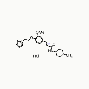 COc1cc(/C=C/C(=O)NC2CCC(C)CC2)ccc1OCCn1cccn1.Cl